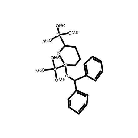 CO[Si](OC)(OC)C1CCC[Si](OC(c2ccccc2)c2ccccc2)([Si](OC)(OC)OC)O1